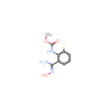 CC(C)(C)OC(=O)Nc1c(F)cccc1/C(N)=N/O